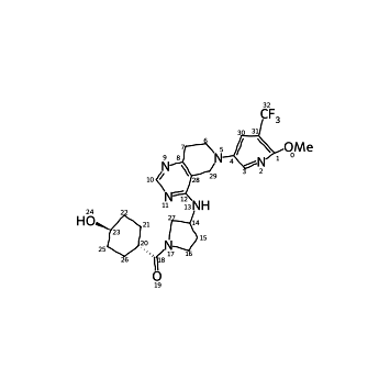 COc1ncc(N2CCc3ncnc(NC4CCN(C(=O)[C@H]5CC[C@H](O)CC5)C4)c3C2)cc1C(F)(F)F